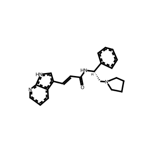 O=C(C=Cc1c[nH]c2ncccc12)N[C@@H](CN1CCCC1)c1ccccc1